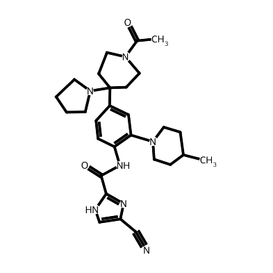 CC(=O)N1CCC(c2ccc(NC(=O)c3nc(C#N)c[nH]3)c(N3CCC(C)CC3)c2)(N2CCCC2)CC1